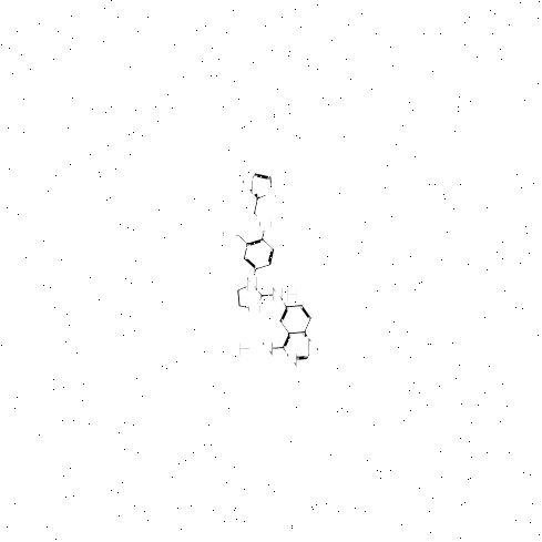 Nc1ncnc2ccc(NC3OCCN3c3ccc(OCc4nccs4)c(Cl)c3)cc12